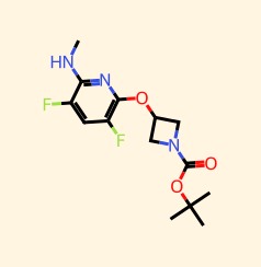 CNc1nc(OC2CN(C(=O)OC(C)(C)C)C2)c(F)cc1F